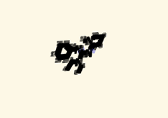 CCN(CC)C(/N=C1/CCCN1C)=N\c1ccccc1